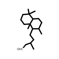 CC(CC=O)CCC1C(C)CCC2C(C)(C)CCCC12C